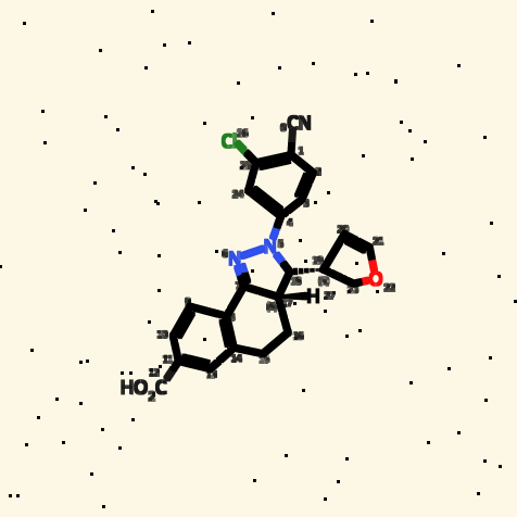 N#Cc1ccc(N2N=C3c4ccc(C(=O)O)cc4CC[C@H]3C2[C@@H]2C=COC2)cc1Cl